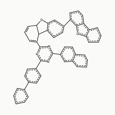 C1=CC2Oc3cc(-c4cccc5c4oc4ccccc45)ccc3C2C(c2nc(-c3ccc(-c4ccccc4)cc3)nc(-c3ccc4ccccc4c3)n2)=C1